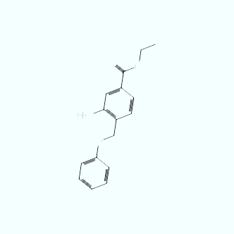 CCOC(=O)c1ccc(COc2ccccc2)c(O)c1